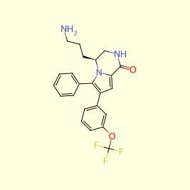 NCCC[C@H]1CNC(=O)c2cc(-c3cccc(OC(F)(F)F)c3)c(-c3ccccc3)n21